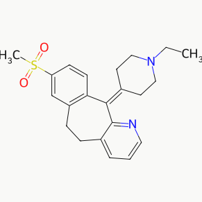 CCN1CCC(=C2c3ccc(S(C)(=O)=O)cc3CCc3cccnc32)CC1